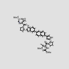 COO/C=N\[C@H](C(=O)N1CCC[C@H]1c1nc2cc(-c3ccc4cc(-c5c[nH]c([C@@H]6CCCN6C(=O)[C@@H](NC(=O)OC)[C@@H](C)OC)n5)ccc4c3)ccc2[nH]1)[C@@H](C)OC